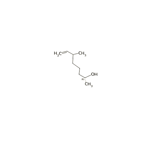 C=CC(C)CCC[C@@H](C)O